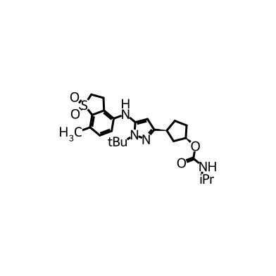 Cc1ccc(Nc2cc([C@H]3CC[C@@H](OC(=O)NC(C)C)C3)nn2C(C)(C)C)c2c1S(=O)(=O)CC2